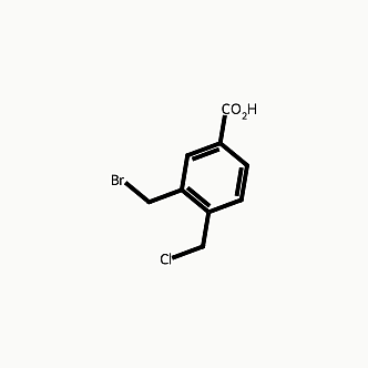 O=C(O)c1ccc(CCl)c(CBr)c1